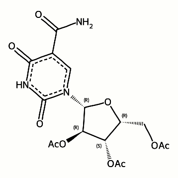 CC(=O)OC[C@H]1O[C@@H](n2cc(C(N)=O)c(=O)[nH]c2=O)[C@H](OC(C)=O)[C@H]1OC(C)=O